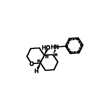 O[C@]12CCCO[C@H]1CCC[C@H]2Nc1ccccc1